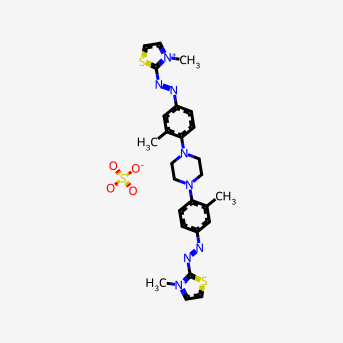 Cc1cc(/N=N/c2scc[n+]2C)ccc1N1CCN(c2ccc(/N=N/c3scc[n+]3C)cc2C)CC1.O=S(=O)([O-])[O-]